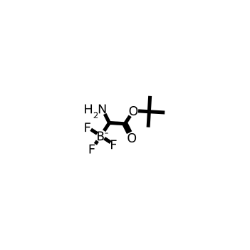 CC(C)(C)OC(=O)C(N)[B-](F)(F)F